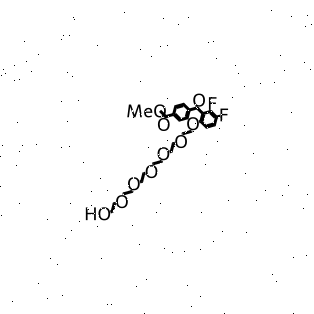 COC(=O)c1ccc(C(=O)c2c(OCCOCCOCCOCCOCCOCCO)ccc(F)c2F)cc1